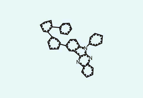 c1ccc(-c2ccccc2-c2cccc(-c3ccc4c(c3)c3nc5ccccc5nc3n4-c3ccccc3)c2)cc1